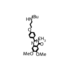 COc1cc2nc(-c3ccc(OCCCNC(C)(C)C)cc3)n(C)c(=O)c2cc1OC